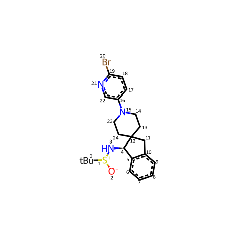 CC(C)(C)[S+]([O-])N[C@@H]1c2ccccc2CC12CCN(c1ccc(Br)nc1)CC2